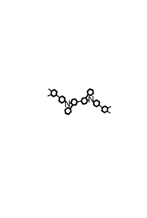 Cc1ccc(-c2ccc(-n3c4ccccc4c4cc(-c5ccc6c(c5)c5ccccc5n6-c5ccc(-c6ccc(C)c(C)c6)cc5)ccc43)cc2)cc1C